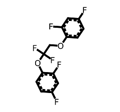 Fc1ccc(OCC(F)(F)Oc2ccc(F)cc2F)c(F)c1